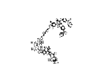 CC[C@]1(O)c2cc3n(c(=O)c2COC1O)Cc1c-3nc2cc(F)c(NC(=O)[C@H](C)NC(=O)C(C)(NC(O)COCCOCCOCCOc3c(F)cc(N4C(=O)C(Sc5ccc(C(=O)N6CCOCC6)cc5)=C(Sc5ccc(C(=O)N6CCOCC6)cc5)C4=O)cc3F)C(C)C)c3c2c1C(F)(F)CS3